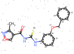 Cc1nocc1C(=O)NC(=S)Nc1cccc(OCc2ccccc2)c1